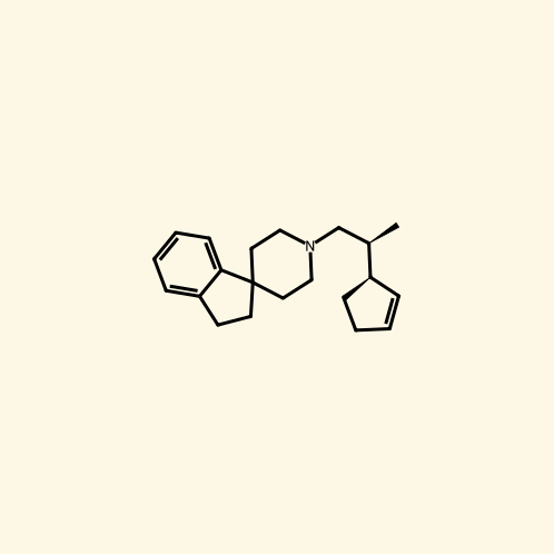 C[C@H](CN1CCC2(CCc3ccccc32)CC1)[C@H]1C=CCC1